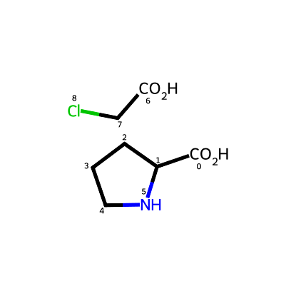 O=C(O)C1CCCN1.O=C(O)CCl